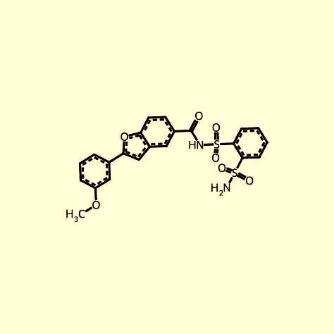 COc1cccc(-c2cc3cc(C(=O)NS(=O)(=O)c4ccccc4S(N)(=O)=O)ccc3o2)c1